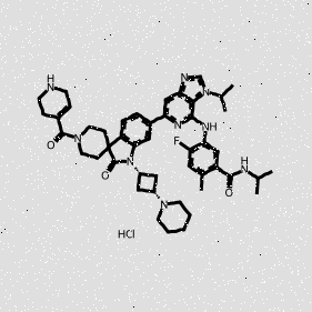 Cc1cc(F)c(Nc2nc(-c3ccc4c(c3)N([C@H]3C[C@@H](N5CCCCC5)C3)C(=O)C43CCN(C(=O)C4=CCNCC4)CC3)cc3ncn(C(C)C)c23)cc1C(=O)NC(C)C.Cl